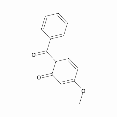 COC1=CC(=O)C(C(=O)c2ccccc2)C=C1